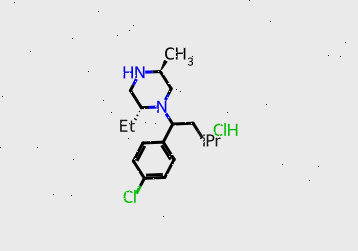 CC[C@@H]1CN[C@@H](C)CN1C(CC(C)C)c1ccc(Cl)cc1.Cl